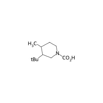 CC1CCN(C(=O)O)CC1C(C)(C)C